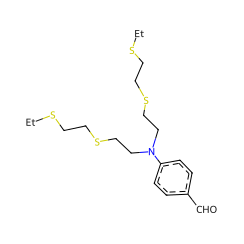 CCSCCSCCN(CCSCCSCC)c1ccc(C=O)cc1